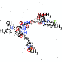 CCCN(CCC)CCCC[C@H](NC(=O)[C@@H](NC(=O)CCCC#Cc1cnc(S(C)(=O)=O)nc1)C(C)C)C(=O)NCC(=O)NCOCCCC1OC(=O)[C@](O)(CC)c2cc3n(c(=O)c21)Cc1cc2cc(C)c(F)cc2nc1-3